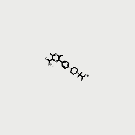 Cc1nc(C)c(-c2ccc([C@H]3CC[C@H](C(C)(C)C(=O)O)CC3)cc2)nc1C(N)=O